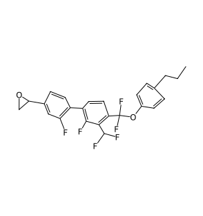 CCCc1ccc(OC(F)(F)c2ccc(-c3ccc(C4CO4)cc3F)c(F)c2C(F)F)cc1